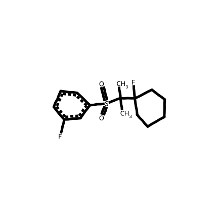 CC(C)(C1(F)CCCCC1)S(=O)(=O)c1cccc(F)c1